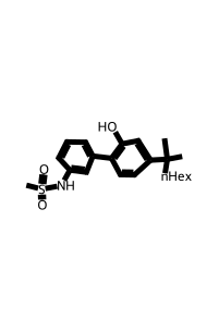 CCCCCCC(C)(C)c1ccc(-c2cccc(NS(C)(=O)=O)c2)c(O)c1